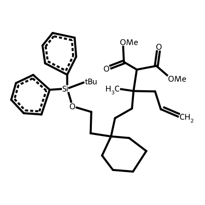 C=CCC(C)(CCC1(CCO[Si](c2ccccc2)(c2ccccc2)C(C)(C)C)CCCCC1)C(C(=O)OC)C(=O)OC